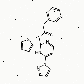 O=C(Cc1cccnc1)NC1(c2cccs2)N=CC=C(n2cccn2)N1